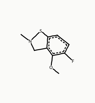 COc1c(F)ccc2c1CN(C)S2